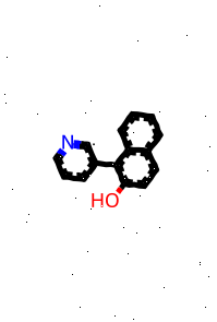 Oc1ccc2ccccc2c1-c1[c]nccc1